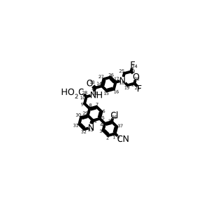 N#Cc1ccc(-c2ccc(CC(NC(=O)c3ccc(N4CC(F)OC(F)C4)cc3)C(=O)O)c3cccnc23)c(Cl)c1